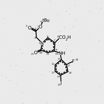 CC(C)(C)OC(=O)Cn1cc(C(=O)O)c(Nc2ccc(I)cc2F)cc1=O